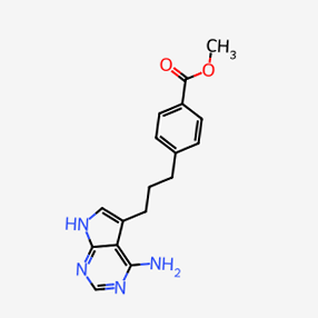 COC(=O)c1ccc(CCCc2c[nH]c3ncnc(N)c23)cc1